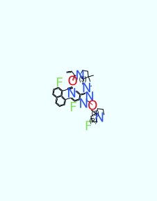 C#Cc1c(F)ccc2cccc(-c3ncc4c(N(C)C[C@H]5N(C(=O)C=C)CCC5(C)C)nc(OC[C@@]56CCCN5C[C@H](F)C6)nc4c3F)c12